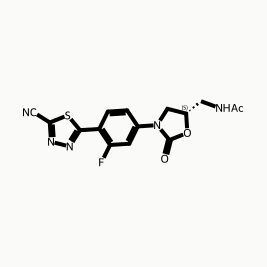 CC(=O)NC[C@H]1CN(c2ccc(-c3nnc(C#N)s3)c(F)c2)C(=O)O1